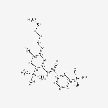 CSCCN/C=C1/C=C(NC(=O)c2cccc(C(F)(F)F)n2)C(C(C)(C)O)=CC1=N